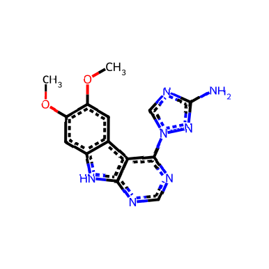 COc1cc2[nH]c3ncnc(-n4cnc(N)n4)c3c2cc1OC